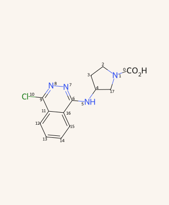 O=C(O)N1CCC(Nc2nnc(Cl)c3ccccc23)C1